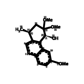 COc1ccc2ncc3c(c2c1)[C@@H](O)C(OC)(OC)C[C@@H]3C